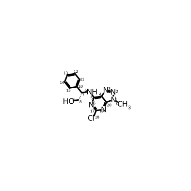 Cn1nnc2c(N[C@H](CO)c3ccccc3)nc(Cl)nc21